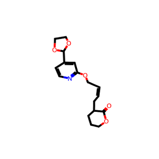 O=C1OCCCC1C/C=C\COc1cc(C2OCCO2)ccn1